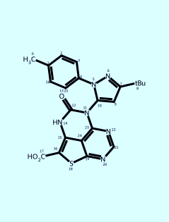 Cc1ccc(-n2nc(C(C)(C)C)cc2N2C(=O)Nc3c(C(=O)O)sc4ncnc2c34)cc1